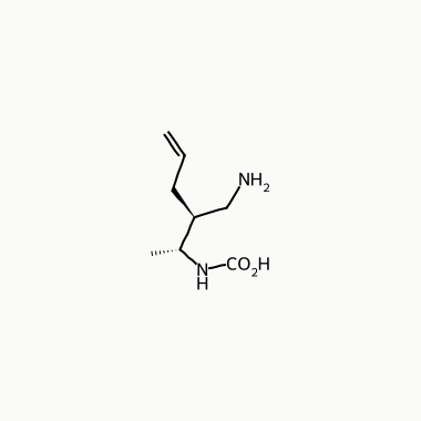 C=CC[C@@H](CN)[C@@H](C)NC(=O)O